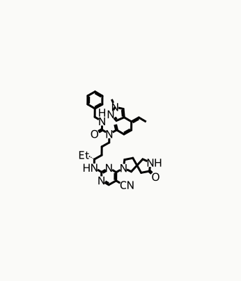 C=C(/C=C\C(=C/C)c1cnn(C)c1)N(CCC[C@@H](CC)Nc1ncc(C#N)c(N2CCC3(CNC(=O)C3)C2)n1)C(=O)NCc1ccccc1